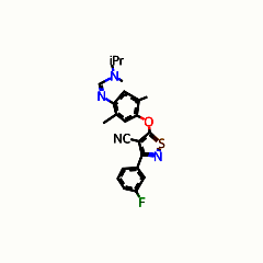 Cc1cc(Oc2snc(-c3cccc(F)c3)c2C#N)c(C)cc1/N=C\N(C)C(C)C